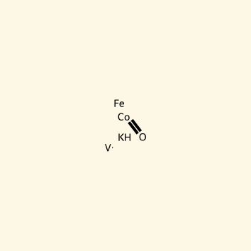 [Fe].[KH].[O]=[Co].[V]